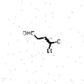 CC/C(Cl)=C\CC=O